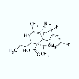 CCCC1NC(C)=C(C#N)C(c2ccc(F)cc2C(F)(F)F)C1(C(=O)O)C(C)C